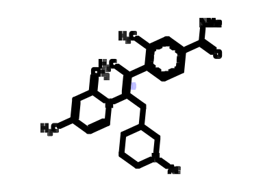 C=C1C=C(C)C=CN1/C(CC1CCCN(C(C)=O)C1)=C(\C)c1ccc(C(=O)NC)cc1C